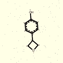 Oc1ccc(C2COC2)cc1